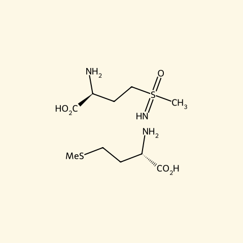 CS(=N)(=O)CC[C@H](N)C(=O)O.CSCC[C@H](N)C(=O)O